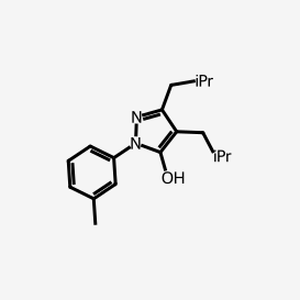 Cc1cccc(-n2nc(CC(C)C)c(CC(C)C)c2O)c1